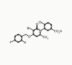 Cc1cc(OCc2ccc(F)cc2F)c(Br)c(=O)n1-c1cc(C(=O)O)ccc1Cl